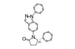 O=C1CC[C@@H](c2ccccc2)N1c1ccc2c(cnn2-c2ccccc2)c1